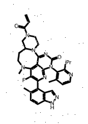 C=CC(=O)N1CCN2c3nc(=O)n(-c4c(C)ccnc4C(C)C)c4nc(-c5c(C)ccc6[nH]ncc56)c(F)c(c34)N(C)CCC2C1